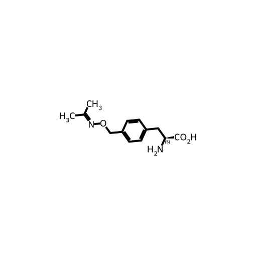 CC(C)=NOCc1ccc(C[C@H](N)C(=O)O)cc1